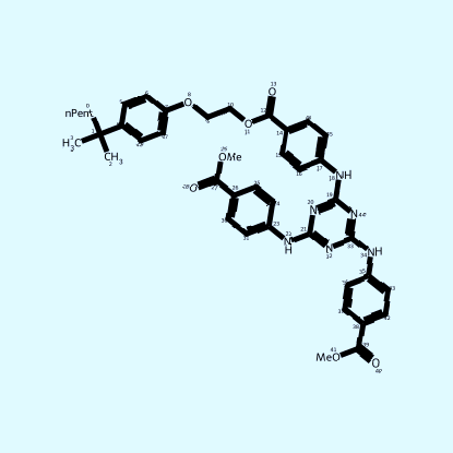 CCCCCC(C)(C)c1ccc(OCCOC(=O)c2ccc(Nc3nc(Nc4ccc(C(=O)OC)cc4)nc(Nc4ccc(C(=O)OC)cc4)n3)cc2)cc1